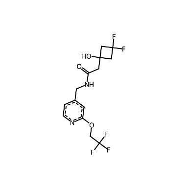 O=C(CC1(O)CC(F)(F)C1)NCc1ccnc(OCC(F)(F)F)c1